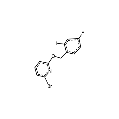 Fc1ccc(COc2cccc(Br)n2)c(I)c1